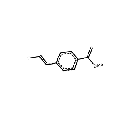 COC(=O)c1ccc(C=CF)cc1